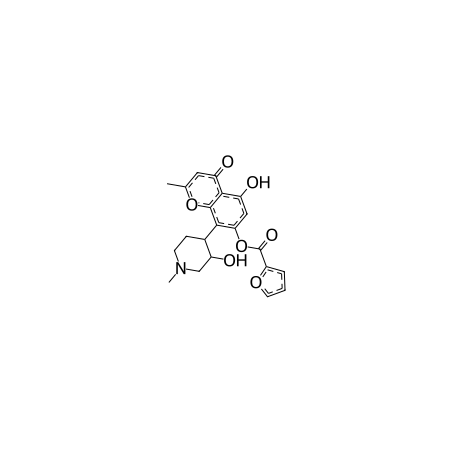 Cc1cc(=O)c2c(O)cc(OC(=O)c3ccco3)c(C3CCN(C)CC3O)c2o1